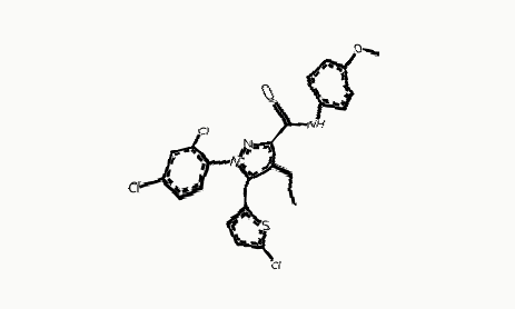 CCc1c(C(=O)Nc2ccc(OC)cc2)nn(-c2ccc(Cl)cc2Cl)c1-c1ccc(Cl)s1